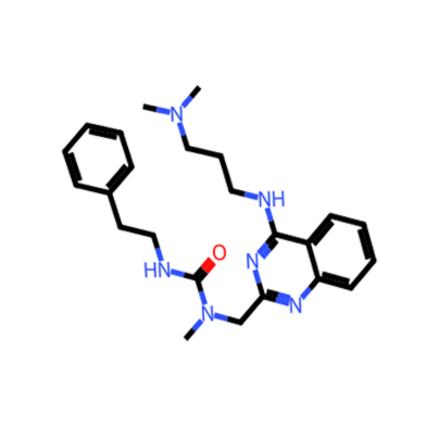 CN(C)CCCNc1nc(CN(C)C(=O)NCCc2ccccc2)nc2ccccc12